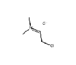 C[N+](C)=CCCl.[Cl-]